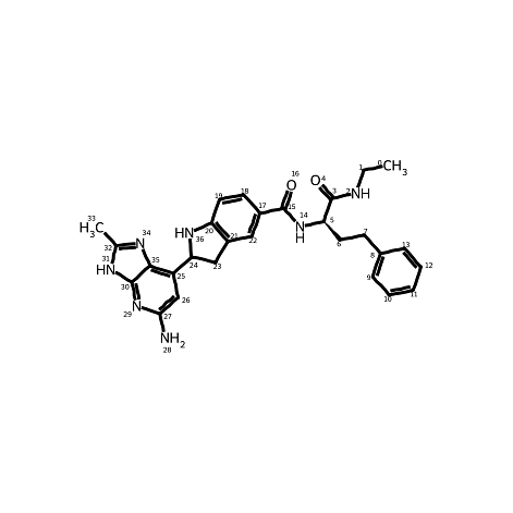 CCNC(=O)[C@@H](CCc1ccccc1)NC(=O)c1ccc2c(c1)CC(c1cc(N)nc3[nH]c(C)nc13)N2